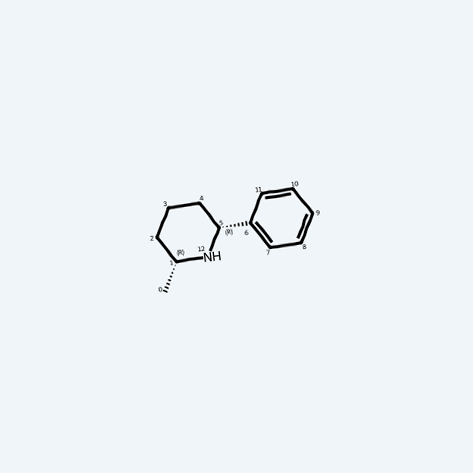 C[C@@H]1CCC[C@H](c2ccccc2)N1